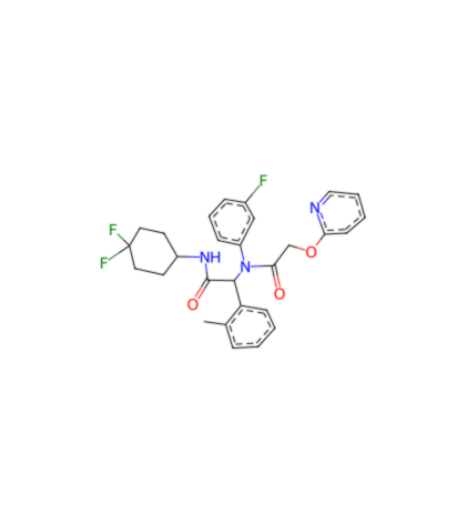 Cc1ccccc1C(C(=O)NC1CCC(F)(F)CC1)N(C(=O)COc1ccccn1)c1cccc(F)c1